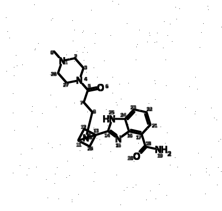 CN1CCN(C(=O)CCN2CC3CC2(c2nc4c(C(N)=O)cccc4[nH]2)C3)CC1